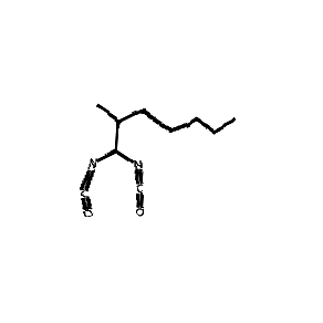 CCCCCC(C)C(N=C=O)N=C=O